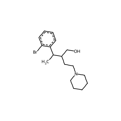 CC(c1ccccc1Br)C(CO)CCN1CCCCC1